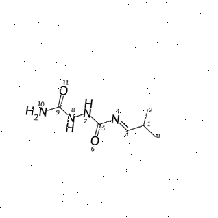 CC(C)C=NC(=O)NNC(N)=O